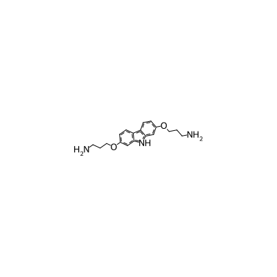 NCCCOc1ccc2c(c1)[nH]c1cc(OCCCN)ccc12